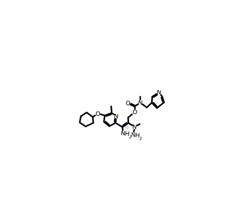 Cc1nc(/C(N)=C(\COC(=O)N(C)Cc2cccnc2)N(C)N)ccc1OC1CCCCC1